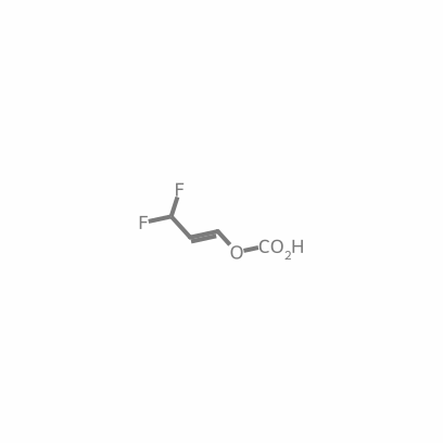 O=C(O)OC=CC(F)F